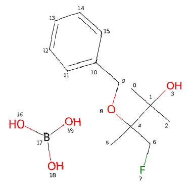 CC(C)(O)C(C)(CF)OCc1ccccc1.OB(O)O